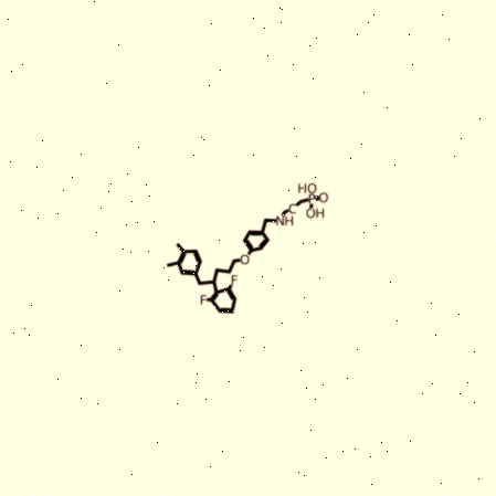 Cc1ccc(CC(CCCOc2ccc(CNCCCP(=O)(O)O)cc2)c2c(F)cccc2F)cc1C